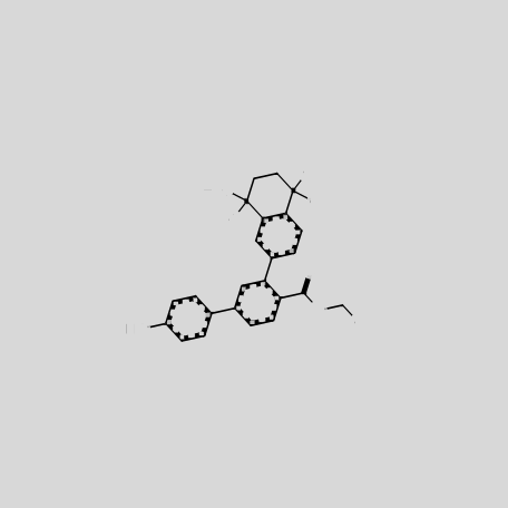 CCOC(=O)c1ccc(-c2ccc(O)cc2)cc1-c1ccc2c(c1)C(C)(C)CCC2(C)C